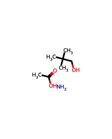 CC(=O)O.CC(C)(C)CO.N